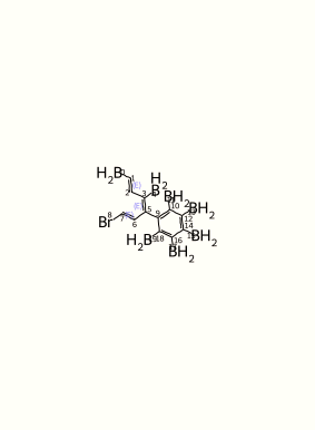 B/C=C/C(B)=C(\C=C\Br)c1c(B)c(B)c(B)c(B)c1B